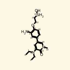 CCN(CC)c1cc(-c2ccc(OCC[SiH2]O)c(N)c2)cn(C)c1=O